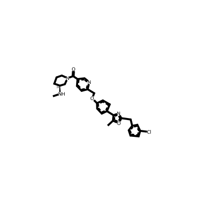 CN[C@H]1CCCN(C(=O)c2ccc(COc3ccc(-c4nc(Cc5cccc(Cl)c5)oc4C)cc3)nc2)C1